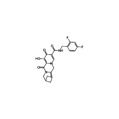 O=C(NCc1ccc(F)cc1F)c1cn2c(c(O)c1=O)C(=O)N1CC3CC(=C1C2)C3